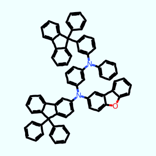 c1ccc(N(c2cccc(N(c3ccc4c(c3)-c3ccccc3C4(c3ccccc3)c3ccccc3)c3ccc4oc5ccccc5c4c3)c2)c2cccc(C3(c4ccccc4)c4ccccc4-c4ccccc43)c2)cc1